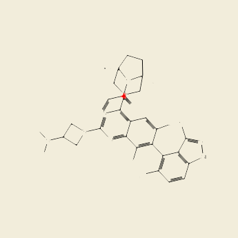 C=CC(=O)N1[C@@H]2CC[C@H]1CN(c1nc(N3CC(N(C)C)C3)nc3c(F)c(-c4c(C)ccc5[nH]nc(N)c45)c(Cl)cc13)C2